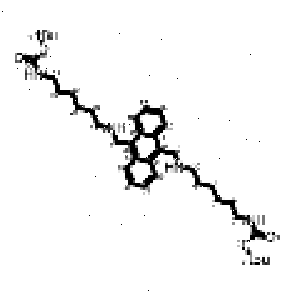 CC(C)(C)OC(=O)NCCCCCCNCc1c2ccccc2c(CNCCCCCCNC(=O)OC(C)(C)C)c2ccccc12